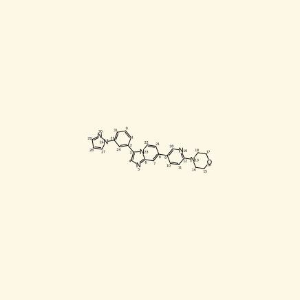 c1cc(-c2cnc3cc(-c4ccc(N5CCOCC5)nc4)ccn23)cc(-n2cccn2)c1